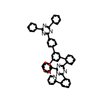 c1ccc(-c2nc(-c3ccccc3)nc(-c3ccc(-c4cc(-c5cccnc5)cc(-c5ccccc5-c5nc(-c6ccccc6)nc(-c6ccccc6-c6ccccn6)n5)c4)cc3)n2)cc1